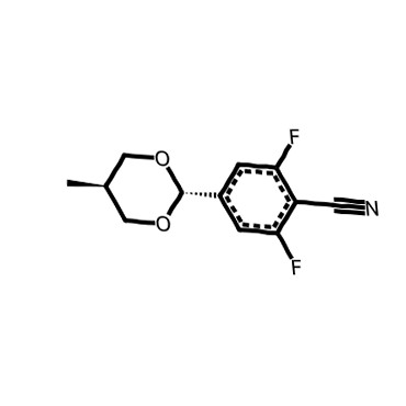 C[C@H]1CO[C@H](c2cc(F)c(C#N)c(F)c2)OC1